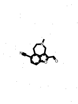 CN1CCc2c(C#N)ccc3oc(C=O)c(c23)C1